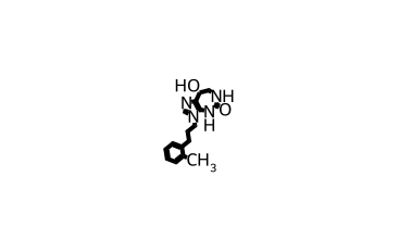 Cc1ccccc1CCCn1cnc2c1NC(=O)NCC2O